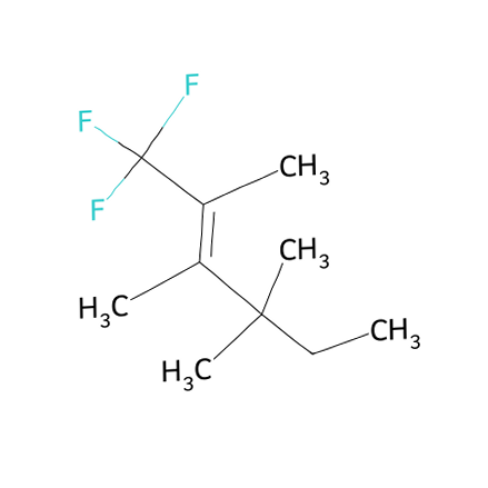 CCC(C)(C)/C(C)=C(\C)C(F)(F)F